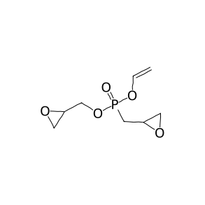 C=COP(=O)(CC1CO1)OCC1CO1